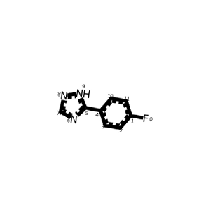 Fc1ccc(-c2n[c]n[nH]2)cc1